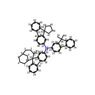 CCC1CCC2CCCC(C2)C12c1ccccc1-c1ccc(N(c3ccc4c(c3)C(C)(C)c3ccccc3-4)c3ccc4c(c3)C3(CCCC3)c3ccccc3-4)cc12